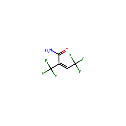 NC(=O)/C(=C\C(F)(F)F)C(F)(F)F